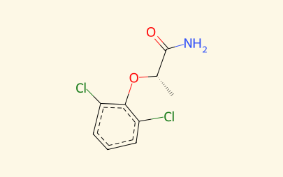 C[C@H](Oc1c(Cl)cccc1Cl)C(N)=O